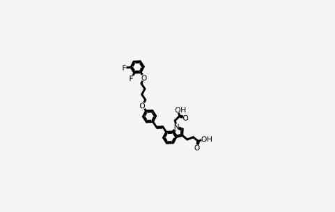 O=C(O)CCc1cn(CC(=O)O)c2c(C=Cc3ccc(OCCCCOc4cccc(F)c4F)cc3)cccc12